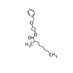 CCCCCCC(C)C(=O)OC1CC(OCc2ccccc2)C1